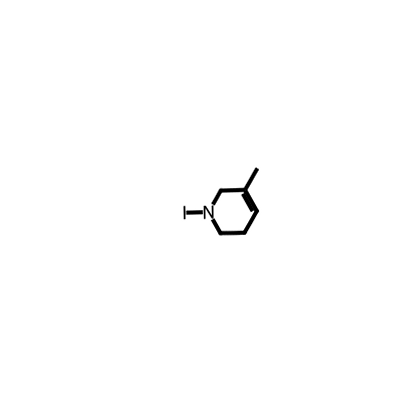 CC1=CCCN(I)C1